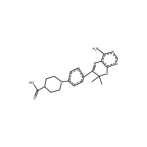 CC1(C)Oc2ncnc(N)c2N=C1c1ccc(N2CCC(C(=O)O)CC2)cc1